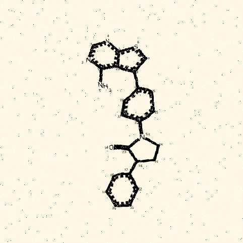 Nc1ncnc2scc(-c3ccc(N4CCC(c5ccccc5)C4=O)cc3)c12